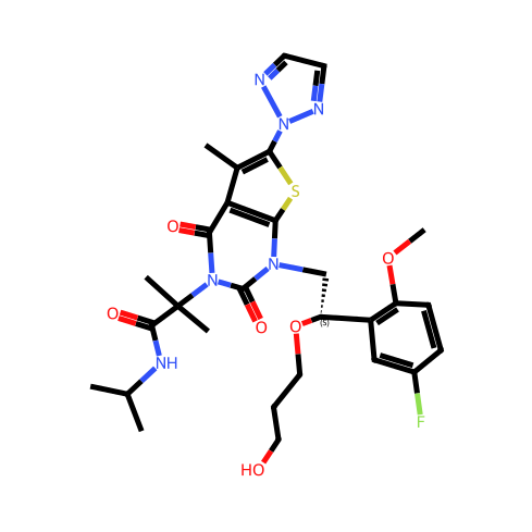 COc1ccc(F)cc1[C@@H](Cn1c(=O)n(C(C)(C)C(=O)NC(C)C)c(=O)c2c(C)c(-n3nccn3)sc21)OCCCO